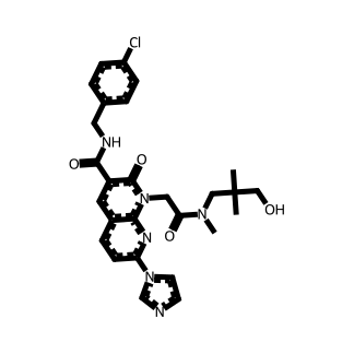 CN(CC(C)(C)CO)C(=O)Cn1c(=O)c(C(=O)NCc2ccc(Cl)cc2)cc2ccc(-n3ccnc3)nc21